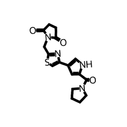 O=C(c1cc(-c2csc(CN3C(=O)CCC3=O)n2)c[nH]1)N1CCCC1